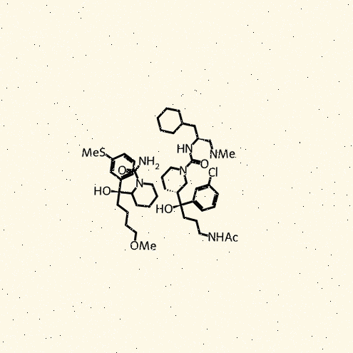 CNC[C@H](CC1CCCCC1)NC(=O)N1CCC[C@@H]([C@@](O)(CCCNC(C)=O)c2cccc(Cl)c2)C1.COCCCC[C@](O)(c1cccc(SC)c1)C1CCCCN1C(N)=O